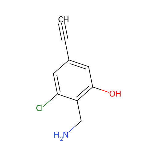 C#Cc1cc(O)c(CN)c(Cl)c1